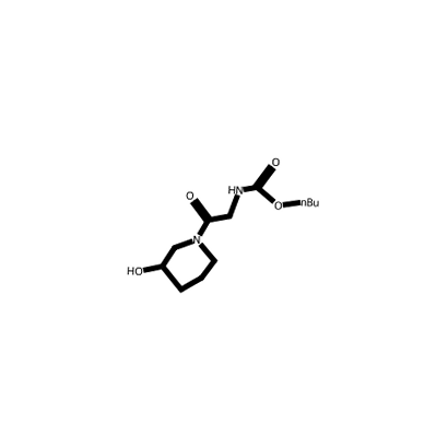 CCCCOC(=O)NCC(=O)N1CCCC(O)C1